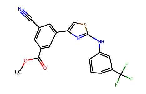 COC(=O)c1cc(C#N)cc(-c2csc(Nc3cccc(C(F)(F)F)c3)n2)c1